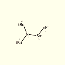 CC[CH2][Sn][N](C(C)(C)C)C(C)(C)C